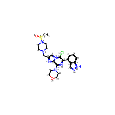 C[S+]([O-])N1CCN(Cc2cn3c(Cl)c(-c4cccc5[nH]ncc45)nc(N4CCOCC4)c3n2)CC1